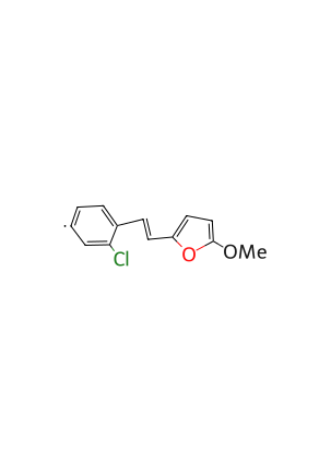 COc1ccc(C=Cc2cc[c]cc2Cl)o1